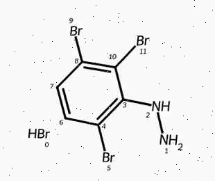 Br.NNc1c(Br)ccc(Br)c1Br